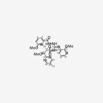 COc1cccc(C(=O)NN/C(=N/c2cccnc2OC)NS(=O)(=O)[C@@H](C)[C@H](OC)c2ncc(C)cn2)n1